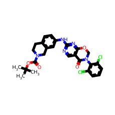 CC(C)(C)OC(=O)N1CCc2ccc(Nc3ncc4c(n3)OCN(c3c(Cl)cccc3Cl)C4=O)cc2C1